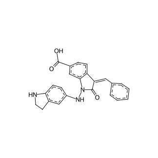 O=C(O)c1ccc2c(c1)N(Nc1ccc3c(c1)CCN3)C(=O)C2=Cc1ccccc1